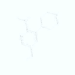 O=Cc1ccc([N+](=O)[O-])c(N2CCNCC2)c1